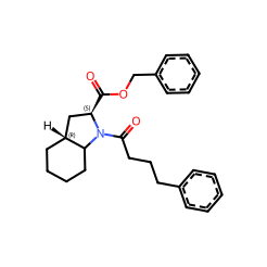 O=C(OCc1ccccc1)[C@@H]1C[C@H]2CCCCC2N1C(=O)CCCc1ccccc1